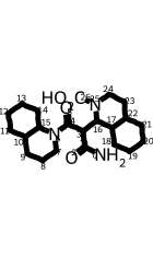 NC(=O)C(C(=O)N1CCCC2CCCCC21)C1C2CCCCC2CCN1C(=O)O